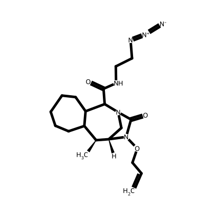 C=CCON1C(=O)N2C[C@H]1[C@@H](C)C1CCCCCC1C2C(=O)NCCN=[N+]=[N-]